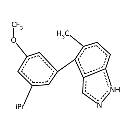 Cc1ccc2[nH]ncc2c1-c1cc(OC(F)(F)F)cc(C(C)C)c1